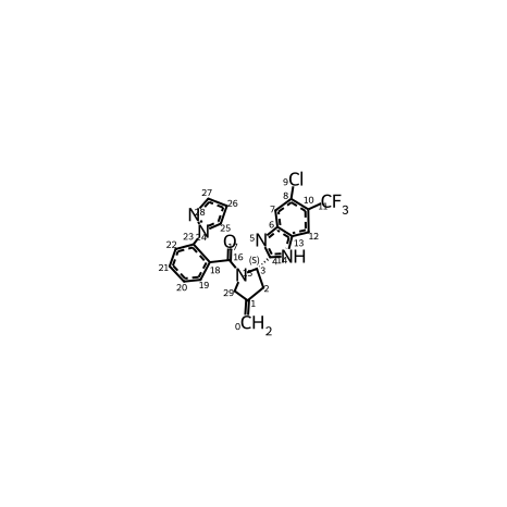 C=C1C[C@@H](c2nc3cc(Cl)c(C(F)(F)F)cc3[nH]2)N(C(=O)c2ccccc2-n2cccn2)C1